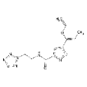 C=CO/C(=C\C)c1cc(C(=O)NCCn2ncnn2)no1